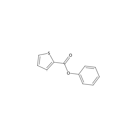 O=C(Oc1ccccc1)c1[c]ccs1